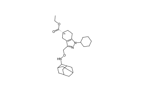 CCOC(=O)[C@@H]1CCc2c(c(CONC3C4CC5CC(C4)CC3C5)nn2C2CCCCC2)C1